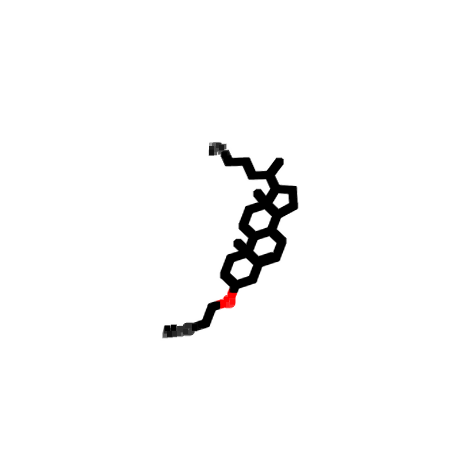 COCCOC1CCC2(C)C(=CCC3C2CCC2(C)C(C(C)CCCC(C)C)CCC32)C1